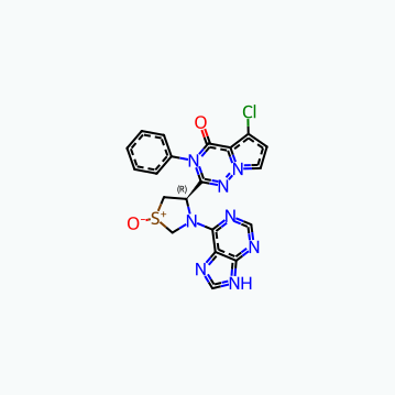 O=c1c2c(Cl)ccn2nc([C@@H]2C[S+]([O-])CN2c2ncnc3[nH]cnc23)n1-c1ccccc1